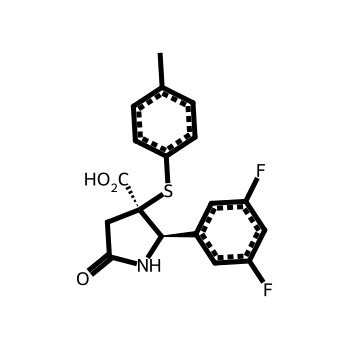 Cc1ccc(S[C@]2(C(=O)O)CC(=O)N[C@@H]2c2cc(F)cc(F)c2)cc1